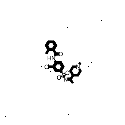 C/C(=N/S(=O)(=O)c1ccc(NC(=O)c2ccccc2C)c(Cl)c1)C1CCN(C)CC1